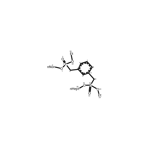 CCCCCCCCCOP(=O)(Cc1cccc(CP(=O)(OCC)OCCCCCCC)c1)OCC